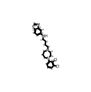 Clc1cccc(N2CCCN(CCCCNc3ccc4scnc4c3)CC2)c1Cl